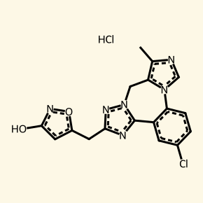 Cc1ncn2c1Cn1nc(Cc3cc(O)no3)nc1-c1cc(Cl)ccc1-2.Cl